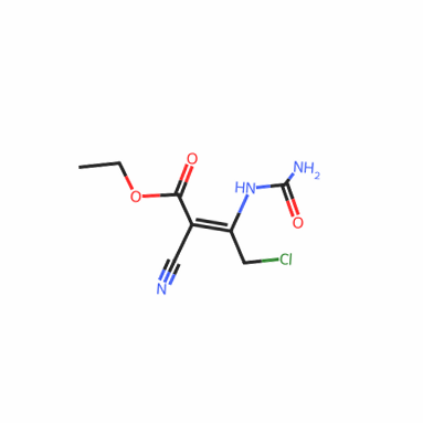 CCOC(=O)C(C#N)=C(CCl)NC(N)=O